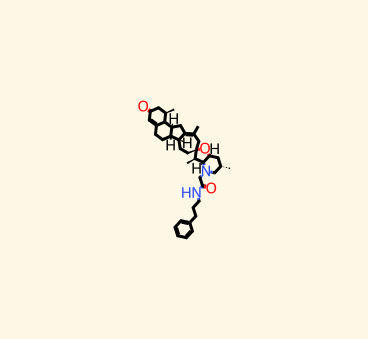 CC1=C2C[C@@H]3C4C(=CC(=O)C[C@H]4C)CC[C@H]3[C@@H]2CC[C@@]2(C1)O[C@@H]1C[C@H](C)CN(CC(=O)NCCCc3ccccc3)[C@H]1[C@H]2C